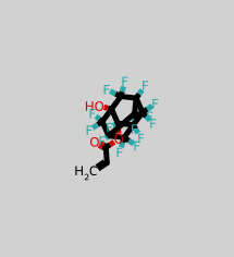 C=CC(=O)OC1(F)C2(O)C(F)(F)C3(F)C(F)(F)C(F)(C2(F)F)C(F)(F)C1(F)C3(F)F